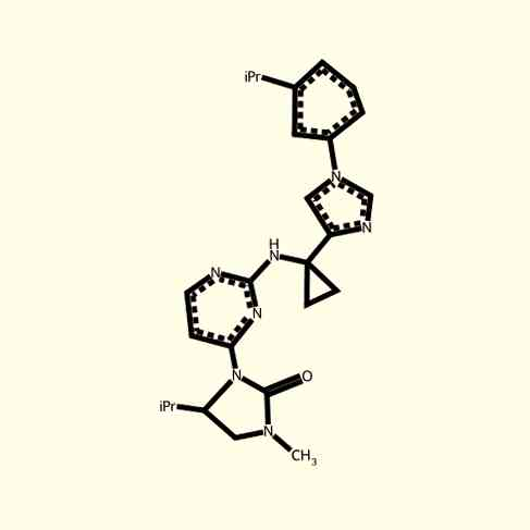 CC(C)c1cccc(-n2cnc(C3(Nc4nccc(N5C(=O)N(C)CC5C(C)C)n4)CC3)c2)c1